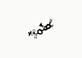 CC(C)(C)OC(=O)NC1CC=C(c2cc3cc(F)c(C#N)cc3n2C2CC2)CC1